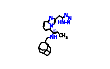 C/C=C(\NCC12CC3CC4CC(C1)C4(C3)C2)c1cccc2nc(Cc3nnn[nH]3)cn12